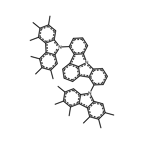 Cc1cc2c(c(C)c1C)c1c(C)c(C)c(C)cc1n2-c1cccc2c1c1cccc3c4c(-n5c6cc(C)c(C)c(C)c6c6c(C)c(C)c(C)cc65)cccc4n2c13